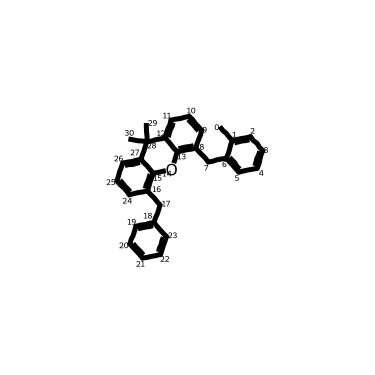 Cc1ccccc1Cc1cccc2c1Oc1c(Cc3ccccc3)cccc1C2(C)C